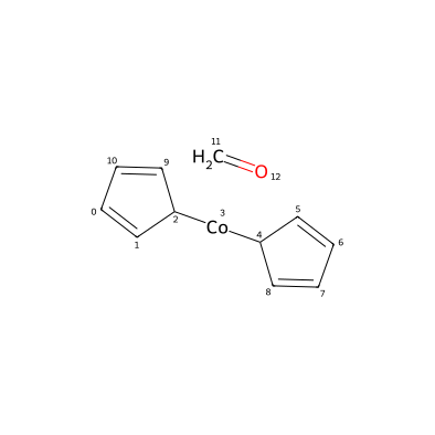 C1=C[CH]([Co][CH]2C=CC=C2)C=C1.C=O